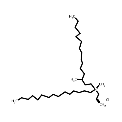 C=CC[N+](C)(CCCCCCCCCCCCCCC)CCC(C)CCCCCCCCCCCC.[Cl-]